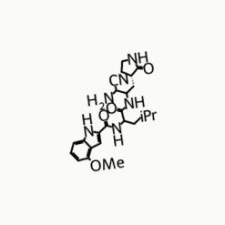 COc1cccc2[nH]c(C(=O)NC(CC(C)C)C(=O)NC(C[C@@H]3CCNC3=O)C(N)C#N)cc12